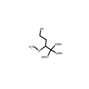 COC(OC)(OC)C(CCS)O[SiH3]